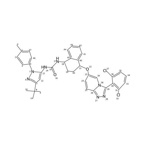 Cc1ccc(-n2nc(C(C)(C)C)cc2NC(=O)NC2CCC(Oc3ccc4nnc(-c5c(Cl)cccc5Cl)n4c3)c3ccccc32)cc1